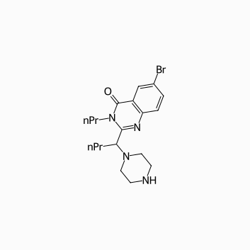 CCCC(c1nc2ccc(Br)cc2c(=O)n1CCC)N1CCNCC1